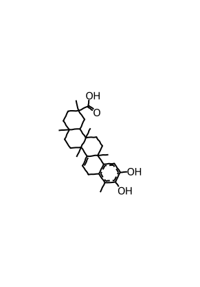 Cc1c(O)c(O)cc2c1CC=C1C2(C)CCC2(C)C3CC(C)(C(=O)O)CCC3(C)CCC12C